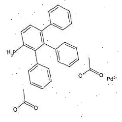 CC(=O)[O-].CC(=O)[O-].Pc1ccc(-c2ccccc2)c(-c2ccccc2)c1-c1ccccc1.[Pd+2]